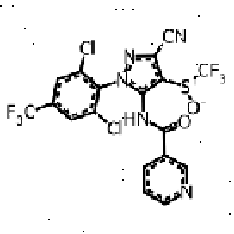 N#Cc1nn(-c2c(Cl)cc(C(F)(F)F)cc2Cl)c(NC(=O)c2cccnc2)c1[S+]([O-])C(F)(F)F